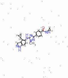 Cn1nc(-c2ccc(C(=O)NC3CC3)cc2)nc1Nc1ccc2[nH]ncc2c1C1CC1